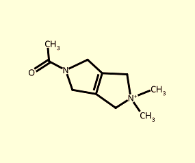 CC(=O)N1CC2=C(C1)C[N+](C)(C)C2